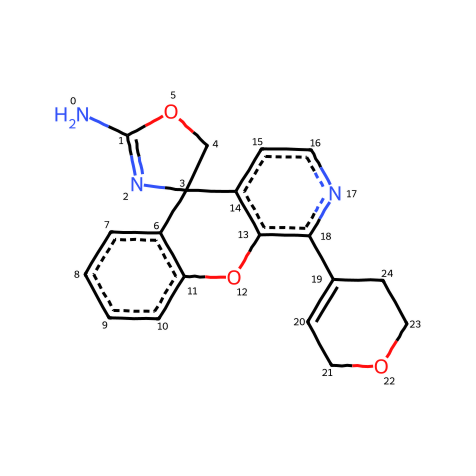 NC1=NC2(CO1)c1ccccc1Oc1c2ccnc1C1=CCOCC1